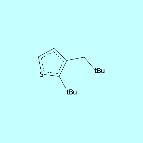 CC(C)(C)Cc1ccsc1C(C)(C)C